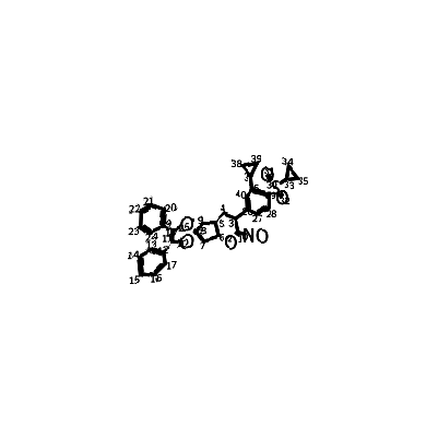 O=NC(=O)C(C[C@H]1CCC2(C1)O[C@H](c1ccccc1)[C@@H](c1ccccc1)O2)c1ccc(S(=O)(=O)C2CC2)c(C2CC2)c1